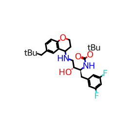 CC(C)(C)Cc1ccc2c(c1)C(NC[C@@H](O)[C@H](Cc1cc(F)cc(F)c1)NC(=O)OC(C)(C)C)CCO2